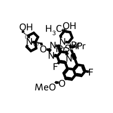 COCOc1cc(-c2ncc3c(N4CCC[C@@](C)(O)C4)nc(OC[C@@]45CCCN4[C@H](CO)CC5)nc3c2F)c2c(C#C[Si](C(C)C)(C(C)C)C(C)C)cc(F)cc2c1